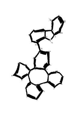 c1ccc2c(c1)-c1ccccc1-c1ccc(-c3cccc4c3sc3ccccc34)cc1-c1ccccc1-2